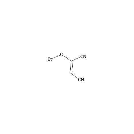 CCOC(C#N)=CC#N